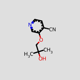 CC(C)(O)COc1cnccc1C#N